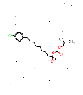 CC(C)COC(=O)OC1(CCCCCCCCc2ccc(Cl)cc2)CO1